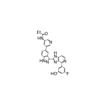 CCC(=O)Nc1cncc(-c2ccc3[nH]nc(-c4nc5c(-c6cc(O)cc(F)c6)nccc5[nH]4)c3c2)c1